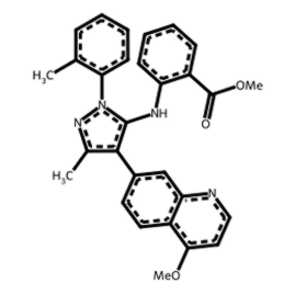 COC(=O)c1ccccc1Nc1c(-c2ccc3c(OC)ccnc3c2)c(C)nn1-c1ccccc1C